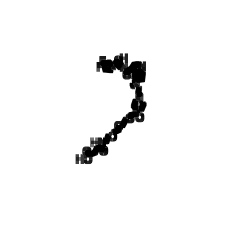 CN(CCCN1CCN(C(=O)COCCOCCOCCNC(=O)CCC(=O)O)CC1)c1ccc2nccc(C(=O)NCC(=O)N3CCC(F)(F)C3)c2c1